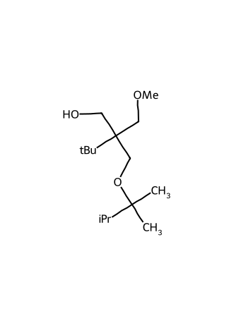 COCC(CO)(COC(C)(C)C(C)C)C(C)(C)C